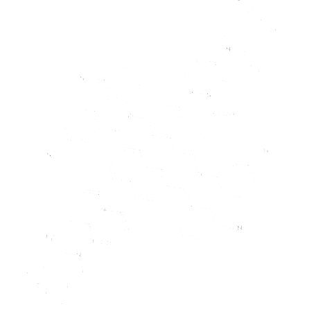 N#Cc1cccc(Oc2cc3c4c(cc(Oc5cccc(C#N)c5)c5c6c(Oc7cccc(C#N)c7)cc7c8c(cc(Oc9cccc(C#N)c9)c(c2c45)c86)C(=O)N(C(CC(F)(F)F)C(=O)N(CC2CO2)CC2CO2)C7=O)C(=O)N(C(CC(F)(F)F)C(=O)N(CC2CO2)CC2CO2)C3=O)c1